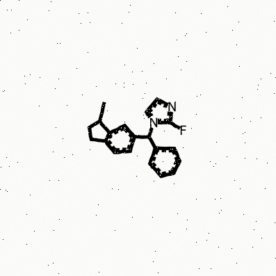 CC1CCc2ccc(C(c3ccccc3)n3ccnc3F)cc21